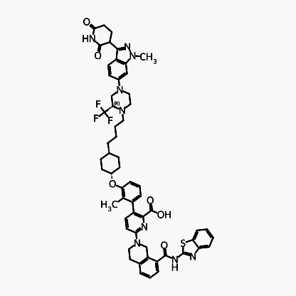 Cc1c(O[C@H]2CC[C@H](CCCCN3CCN(c4ccc5c(C6CCC(=O)NC6=O)nn(C)c5c4)C[C@@H]3C(F)(F)F)CC2)cccc1-c1ccc(N2CCc3cccc(C(=O)Nc4nc5ccccc5s4)c3C2)nc1C(=O)O